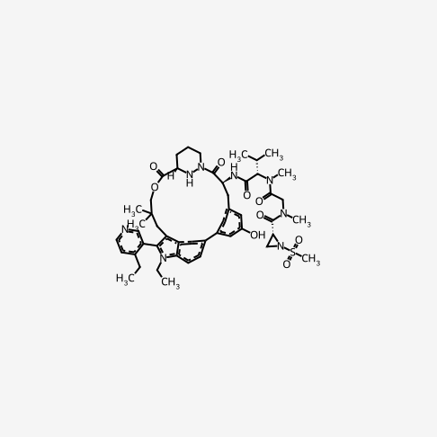 CCc1ccncc1-c1c2c3cc(ccc3n1CC)-c1cc(O)cc(c1)C[C@H](NC(=O)[C@H](C(C)C)N(C)C(=O)CN(C)C(=O)[C@H]1CN1S(C)(=O)=O)C(=O)N1CCC[C@H](N1)C(=O)OCC(C)(C)C2